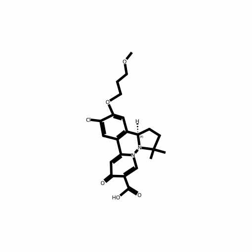 COCCCOc1cc2c(cc1Cl)-c1cc(=O)c(C(=O)O)cn1N1[C@@H]2CCC1(C)C